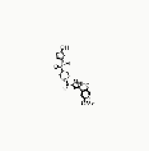 COc1cc(-c2cc(C(=O)N3CCC(C(=O)NC4CCC(O)C4)CC3)n[nH]2)c(Cl)cn1